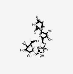 N=CC1O[C@H](OP(=O)(O)OP(=O)(O)OCC2OC(n3ccc(=O)[nH]c3=O)C(O)C2O)[C@H](O)C(O)C1O